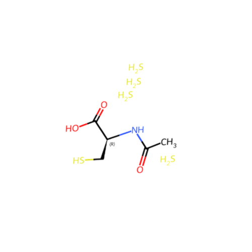 CC(=O)N[C@@H](CS)C(=O)O.S.S.S.S